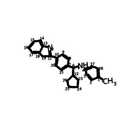 Cc1ccc(NC(c2ccc(C3=Nc4ccccc4C3)cc2)C2CCCC2)cc1